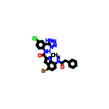 Cn1c(C(=O)Nc2ccc(Cl)cc2-c2nnn[nH]2)cc2c(Br)ccc(NC(=O)Cc3ccccc3)c21